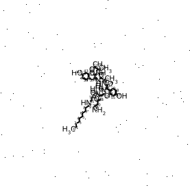 CCCCCCCCCCNCCS(=O)(=O)N[C@@H](CCCCN)C(=O)N(C)[C@H](C(=O)N[C@@H](C)C(=O)N[C@@H](Cc1ccc(O)cc1)C(=O)N[C@@H](C)C(C)=O)c1ccc(O)cc1